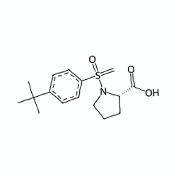 C=S(=O)(c1ccc(C(C)(C)C)cc1)N1CCC[C@H]1C(=O)O